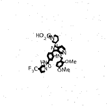 COc1ccc(CNc2nccc3c2c(-c2ccc(C(=O)Nc4cc(C(F)(F)F)ccn4)cc2)nn3[C@@H]2CCCN(C(=O)O)C2)c(OC)c1